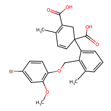 COc1cc(Br)ccc1OCc1c(C)cccc1C1(C(=O)O)C=CC(C)=C(C(=O)O)C1